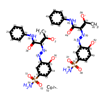 C/C([O-])=C(/N=N/c1cc(S(N)(=O)=O)ccc1[O-])C(=O)Nc1ccccc1.C/C([O-])=C(\N=N\c1cc(S(N)(=O)=O)ccc1[O-])C(=O)Nc1ccccc1.[Co+2]